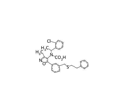 Cc1noc(-c2cccc(CSCCc3ccccc3)c2)c1N(C(=O)O)C(C)c1ccccc1Cl